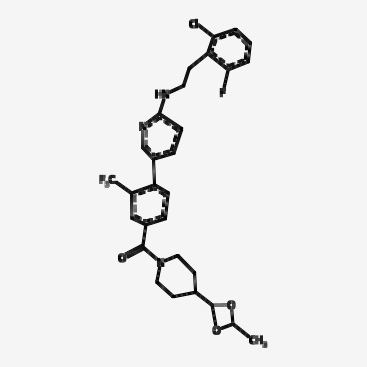 CC1OC(C2CCN(C(=O)c3ccc(-c4ccc(NCCc5c(F)cccc5Cl)nc4)c(C(F)(F)F)c3)CC2)O1